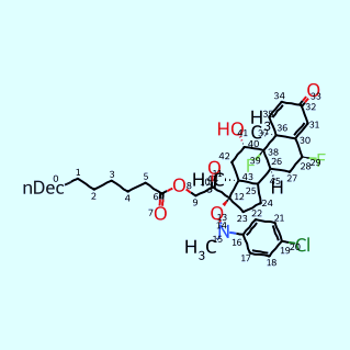 CCCCCCCCCCCCCCCC(=O)OCC(=O)[C@@]1(ON(C)c2ccc(Cl)cc2)CCC2[C@@H]3C[C@H](F)C4=CC(=O)C=C[C@]4(C)[C@@]3(F)[C@@H](O)C[C@@]21C